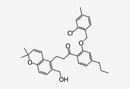 CCCc1ccc(C(=O)CCc2c(CO)ccc3c2C=CC(C)(C)O3)c(OCc2ccc(C)cc2Cl)c1